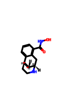 O=C(NO)c1cccc2c1C[C@H]1NCC[C@@]23CCCC[C@@H]13